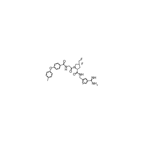 Cc1ccc(Oc2ccc(C(=O)NCC(=O)N3C[C@@](F)(CF)C[C@H]3C(=O)NCc3cc(C(=N)N)cs3)cc2)cc1